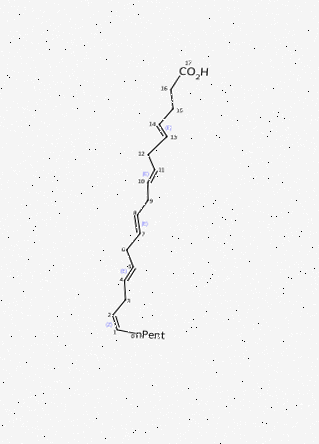 CCCCC/C=C\C/C=C/C/C=C/C/C=C/C/C=C/CCC(=O)O